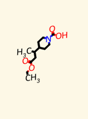 CCOC(=O)CC(C)C1CCN(C(=O)O)CC1